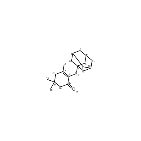 CC1=C(SC23CC4CC(CC(C4)C2)C3)C(=O)CC(C)(C)C1